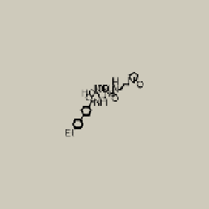 CCc1ccc(-c2ccc(C(=O)N[C@H](CN(O)C(=O)NCCCN3CCCC3=O)[C@@H](C)O)cc2)cc1